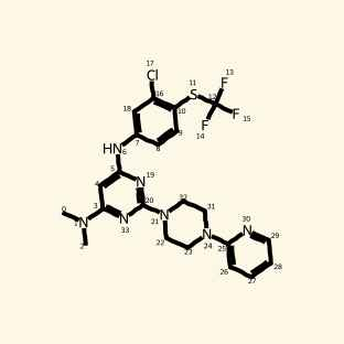 CN(C)c1cc(Nc2ccc(SC(F)(F)F)c(Cl)c2)nc(N2CCN(c3ccccn3)CC2)n1